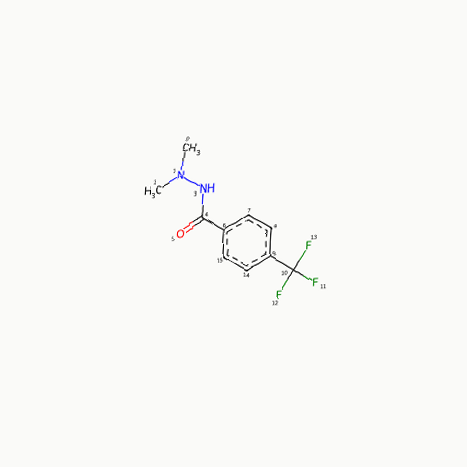 CN(C)NC(=O)c1ccc(C(F)(F)F)cc1